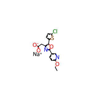 CCOc1ccc(-c2nc(CC(=O)[O-])c(-c3ccc(Cl)s3)o2)cn1.[Na+]